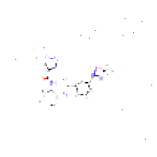 Cn1cc(C(=O)N[C@@H]2CCCC[C@H]2N2Cc3ccc(-c4noc(C(F)(F)F)n4)cc3C2=O)cn1